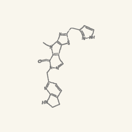 Cn1c2nc(Cc3cc[nH]n3)sc2c2cnn(Cc3ccc4c(n3)NCC4)c(=O)c21